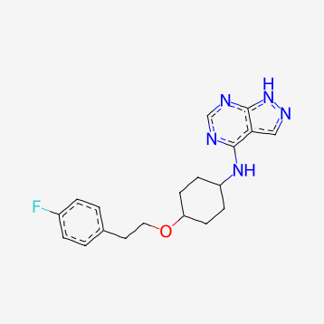 Fc1ccc(CCOC2CCC(Nc3ncnc4[nH]ncc34)CC2)cc1